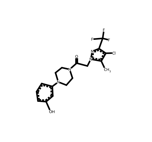 Cc1c(Cl)c(C(F)(F)F)nn1CC(=O)N1CCN(c2cccc(O)c2)CC1